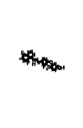 O[n+]1ccc(C(F)(F)F)c(Oc2ccc(CCNc3ncnc4c(F)ccc(F)c34)cc2)c1